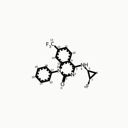 O=c1nc(N[C@H]2C[C@H]2F)c2ccc(C(F)(F)F)cc2n1-c1ccccc1